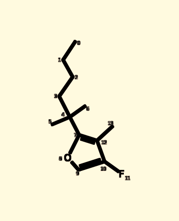 CCCCC(C)(C)c1occ(F)c1C